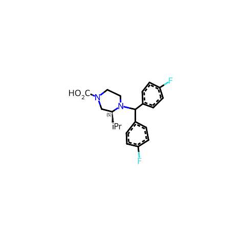 CC(C)[C@H]1CN(C(=O)O)CCN1C(c1ccc(F)cc1)c1ccc(F)cc1